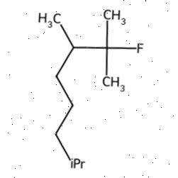 CC(C)CCCC(C)C(C)(C)F